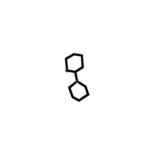 [CH]1CCCN(C2CCCC[N]2)C1